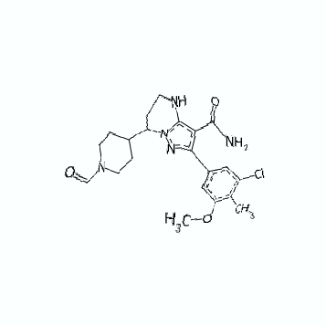 COc1cc(-c2nn3c(c2C(N)=O)NCCC3C2CCN(C=O)CC2)cc(Cl)c1C